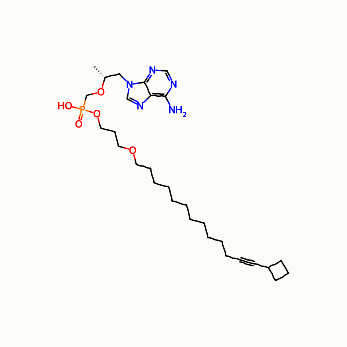 C[C@H](Cn1cnc2c(N)ncnc21)OCP(=O)(O)OCCCOCCCCCCCCCCCC#CC1CCC1